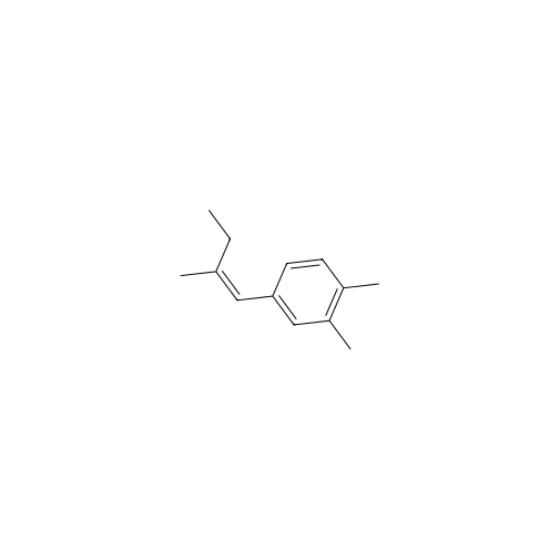 CCC(C)=Cc1ccc(C)c(C)c1